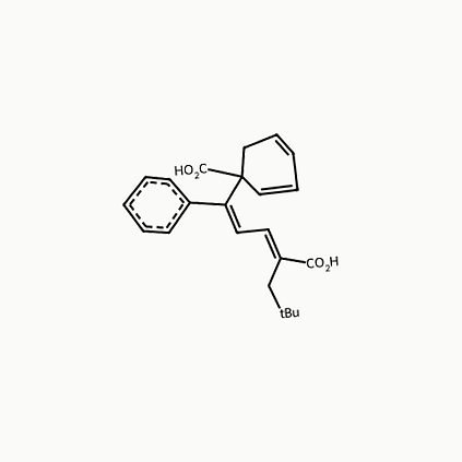 CC(C)(C)CC(=CC=C(c1ccccc1)C1(C(=O)O)C=CC=CC1)C(=O)O